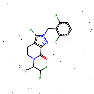 CC(C(F)F)N1CCc2c(nn(Cc3c(F)cccc3F)c2Br)C1=O